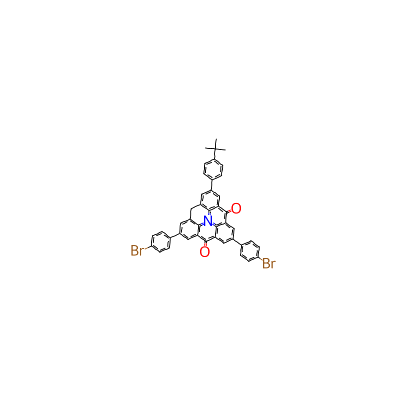 CC(C)(C)c1ccc(-c2cc3c4c(c2)c(=O)c2cc(-c5ccc(Br)cc5)cc5c(=O)c6cc(-c7ccc(Br)cc7)cc(c6n4c52)C3)cc1